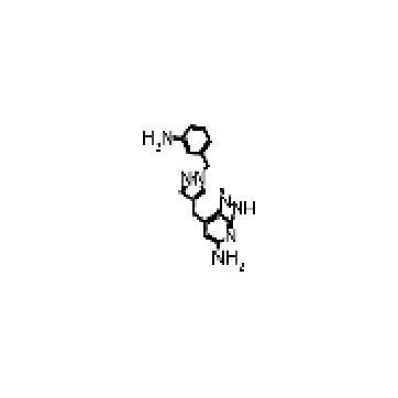 Cn1[nH]c2nc(N)cc(Cc3cnn(Cc4cccc(N)c4)c3)c21